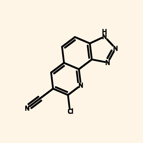 N#Cc1cc2ccc3[nH]nnc3c2nc1Cl